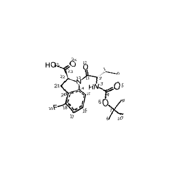 CC[C@H](NC(=O)OC(C)(C)C)C(=O)N1c2cccc(F)c2C[C@H]1C(=O)O